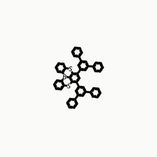 c1ccc(-c2cc(-c3ccccc3)cc(-c3cc(-c4cc(-c5ccccc5)cc(-c5ccccc5)c4)c4c5c3Sc3ccccc3B5c3ccccc3S4)c2)cc1